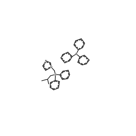 CC(C)C[Si](Cn1ccnc1)(c1ccccc1)c1ccccc1.c1ccc(B(c2ccccc2)c2ccccc2)cc1